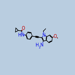 CCn1c(C#Cc2ccc(NC(=O)C3CC3)cc2)c(N)c2ccc(OC)cc21